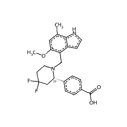 COc1cc(C)c2[nH]ccc2c1CN1CCC(F)(F)C[C@H]1c1ccc(C(=O)O)cc1